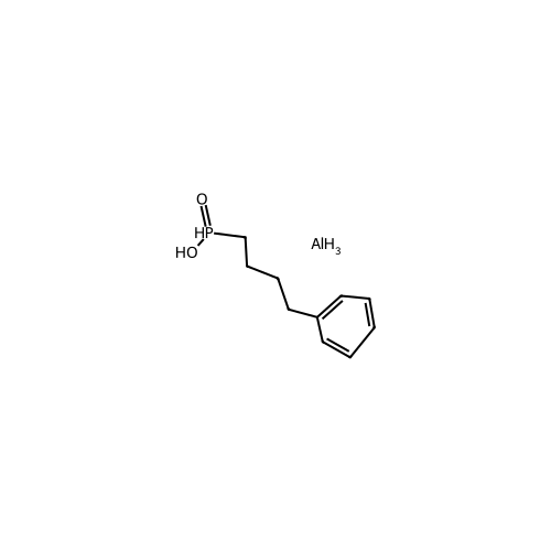 O=[PH](O)CCCCc1ccccc1.[AlH3]